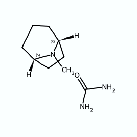 CN1[C@@H]2CCC[C@H]1CC2.NC(N)=O